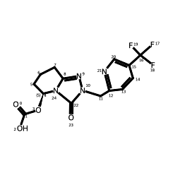 O=C(O)O[C@H]1CCCc2nn(Cc3ccc(C(F)(F)F)cn3)c(=O)n21